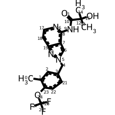 Cc1cc(Cn2cc3c(NC(=O)C(C)(C)O)nccc3n2)ccc1OC(F)(F)F